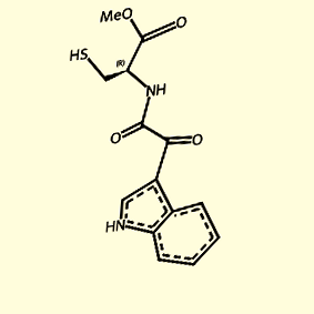 COC(=O)[C@H](CS)NC(=O)C(=O)c1c[nH]c2ccccc12